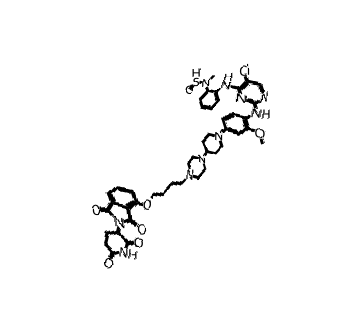 COc1cc(N2CCC(N3CCN(CCCCOc4cccc5c4C(=O)N(C4CCC(=O)NC4=O)C5=O)CC3)CC2)ccc1Nc1ncc(Cl)c(Nc2ccccc2N(C)[SH]=O)n1